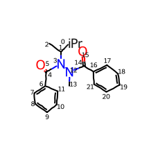 CC(C)C(C)N(C(=O)c1ccccc1)N(C)C(=O)c1ccccc1